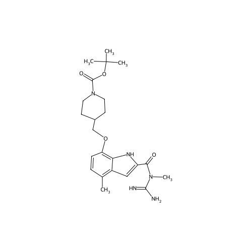 Cc1ccc(OCC2CCN(C(=O)OC(C)(C)C)CC2)c2[nH]c(C(=O)N(C)C(=N)N)cc12